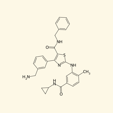 Cc1ccc(C(=O)NC2CC2)cc1Nc1nc(-c2cccc(CN)c2)c(C(=O)NCc2ccccc2)s1